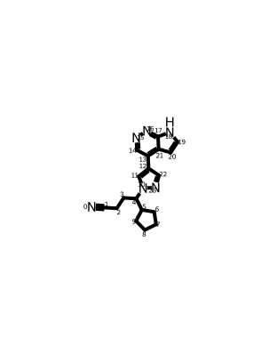 N#CCCC(C1CCCC1)n1cc(-c2cnnc3[nH]ccc23)cn1